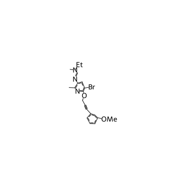 CCN(C)/C=N/c1cc(Br)c(OCC#Cc2cccc(OC)c2)nc1C